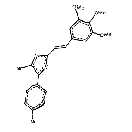 COc1cc(/C=C/c2nc(-c3ccc(Br)cc3)c(Br)s2)cc(OC)c1OC